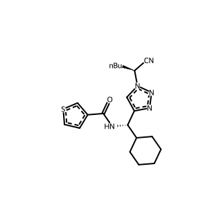 CCCC[C@@H](C#N)n1cc([C@@H](NC(=O)c2ccsc2)C2CCCCC2)nn1